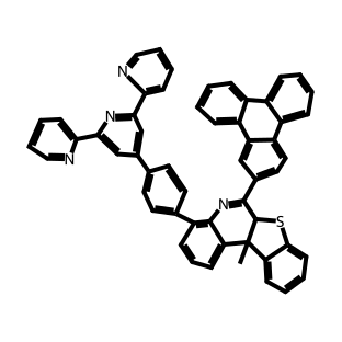 CC12c3ccccc3SC1C(c1ccc3c4ccccc4c4ccccc4c3c1)=Nc1c(-c3ccc(-c4cc(-c5ccccn5)nc(-c5ccccn5)c4)cc3)cccc12